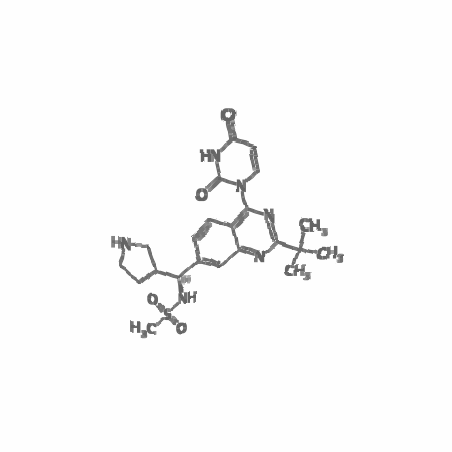 CC(C)(C)c1nc(-n2ccc(=O)[nH]c2=O)c2ccc([C@@H](NS(C)(=O)=O)C3CCNC3)cc2n1